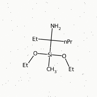 CCCC(N)(CC)[Si](C)(OCC)OCC